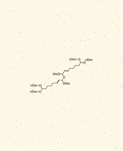 CCCCCCCCCCOC(CCCCC=CC(OC)OC(C=CCCCCC(OCCCCCCCCCC)OCCCCCCCCCC)OC)OCCCCCCCCCC